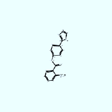 O=C(O)c1ccccc1C(=O)Nc1ccc(-c2nccs2)cc1